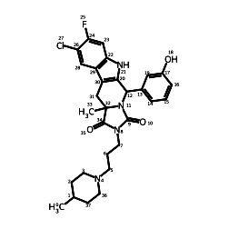 CC1CCN(CCCN2C(=O)N3C(c4cccc(O)c4)c4[nH]c5cc(F)c(Cl)cc5c4CC3(C)C2=O)CC1